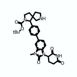 Cn1c(=O)n(C2CCC(=O)NC2=O)c2ccc(-c3ccc(C4N(C(=O)OC(C)(C)C)CCC45CCNC5)cc3)cc21